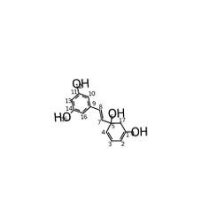 OC1=CC=CC(O)(C=Cc2cc(O)cc(O)c2)C1